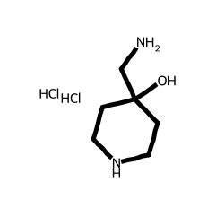 Cl.Cl.NCC1(O)CCNCC1